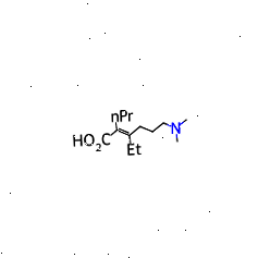 CCCC(C(=O)O)=C(CC)CCCN(C)C